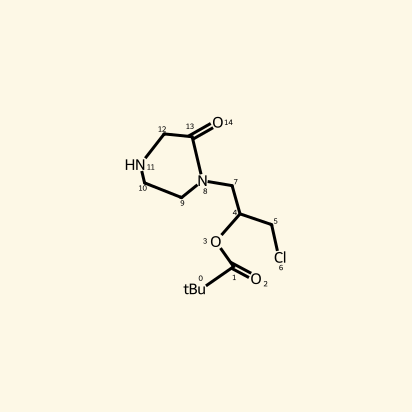 CC(C)(C)C(=O)OC(CCl)CN1CCNCC1=O